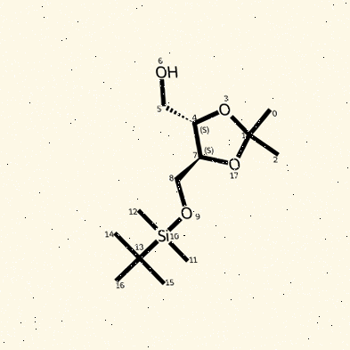 CC1(C)O[C@@H](CO)[C@H](CO[Si](C)(C)C(C)(C)C)O1